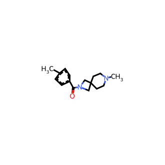 Cc1ccc(C(=O)N2CC3(CCN(C)CC3)C2)cc1